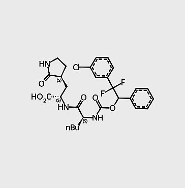 CCCC[C@H](NC(=O)OC(c1ccccc1)C(F)(F)c1cccc(Cl)c1)C(=O)N[C@@H](C[C@@H]1CCNC1=O)C(=O)O